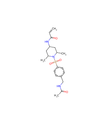 C=CC(=O)NC1CC(C)N(S(=O)(=O)c2ccc(CNC(C)=O)cc2)C(C)C1